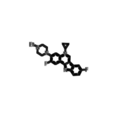 CCN1CCN(c2cc3c(cc2F)c2nc4ccc(F)cc4c-2cn3C2CC2)CC1